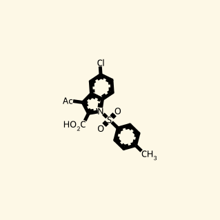 CC(=O)c1c(C(=O)O)n(S(=O)(=O)c2ccc(C)cc2)c2ccc(Cl)cc12